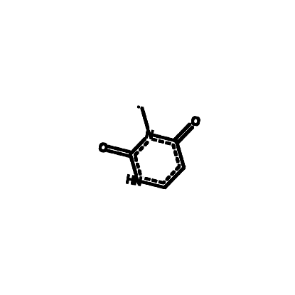 [CH2]n1c(=O)cc[nH]c1=O